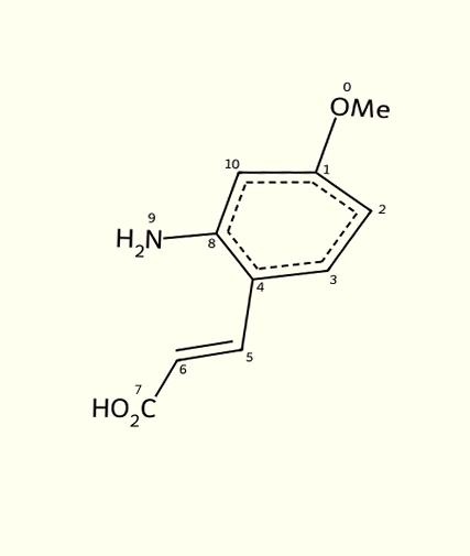 COc1ccc(/C=C/C(=O)O)c(N)c1